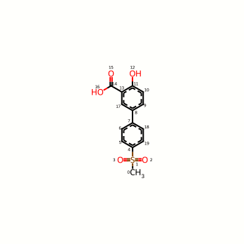 CS(=O)(=O)c1ccc(-c2ccc(O)c(C(=O)O)c2)cc1